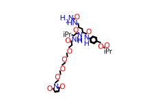 CC(C)C(=O)OCc1ccc(NC(=O)C(CCCNC(N)=O)NC(=O)C(NC(=O)CCOCCOCCOCCOCCN2C(=O)C=CC2=O)C(C)C)cc1